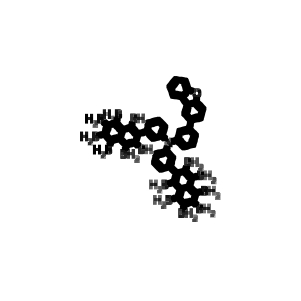 Bc1c(B)c(B)c2c(B)c(-c3cccc(N(c4cccc(-c5ccc6oc7ccccc7c6c5)c4)c4cccc(-c5c(B)c(B)c6c(B)c(B)c(B)c(B)c6c5B)c4)c3)c(B)c(B)c2c1B